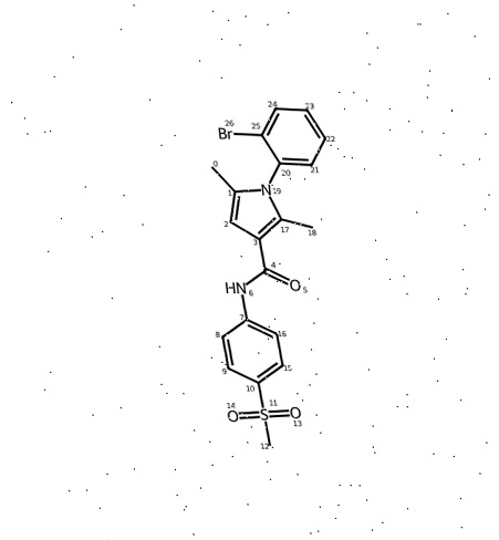 Cc1cc(C(=O)Nc2ccc(S(C)(=O)=O)cc2)c(C)n1-c1ccccc1Br